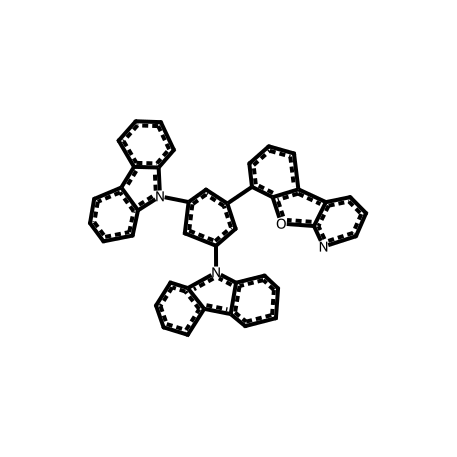 c1cnc2oc3c(-c4cc(-n5c6ccccc6c6ccccc65)cc(-n5c6ccccc6c6ccccc65)c4)cccc3c2c1